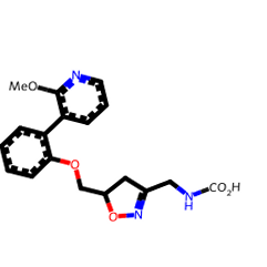 COc1ncccc1-c1ccccc1OCC1CC(CNC(=O)O)=NO1